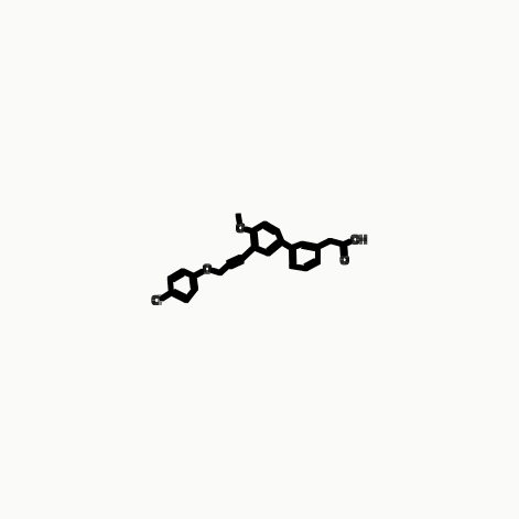 COc1ccc(-c2cccc(CC(=O)O)c2)cc1C#CCOc1ccc(Cl)cc1